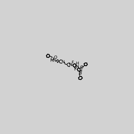 O=C(NC1CC2(CCN(CCC3CCN(c4cc(F)c(Nc5ccc(OCc6ccccc6)nc5OCc5ccccc5)cc4F)CC3)CC2)C1)OCc1ccccc1